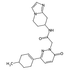 CC1CC=C(c2ccc(=O)n(CC(=O)NC3CCn4ccnc4C3)n2)CC1